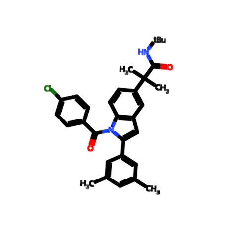 Cc1cc(C)cc(-c2cc3cc(C(C)(C)C(=O)NC(C)(C)C)ccc3n2C(=O)c2ccc(Cl)cc2)c1